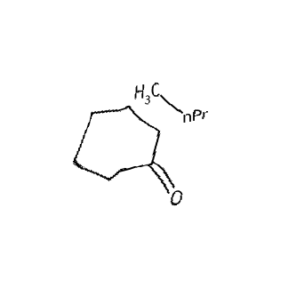 CCCC.O=C1CCCCC1